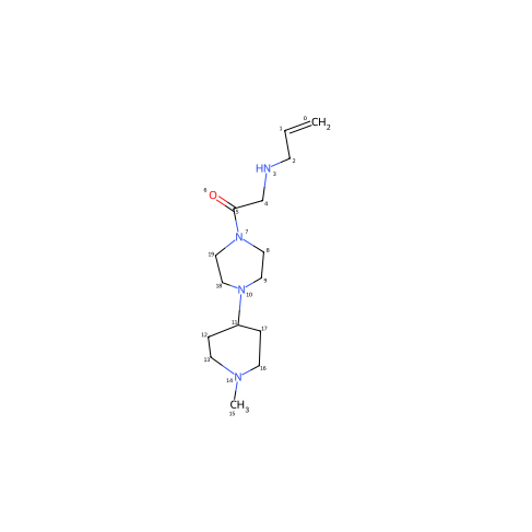 C=CCNCC(=O)N1CCN(C2CCN(C)CC2)CC1